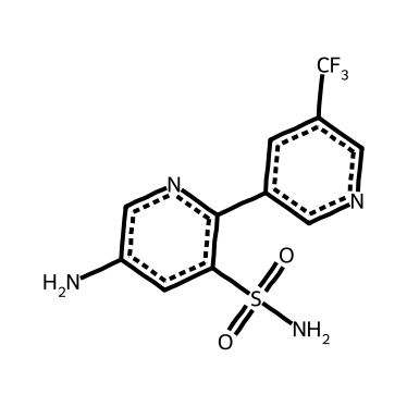 Nc1cnc(-c2cncc(C(F)(F)F)c2)c(S(N)(=O)=O)c1